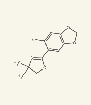 CC1(C)COC(c2cc3c(cc2Br)OCO3)=N1